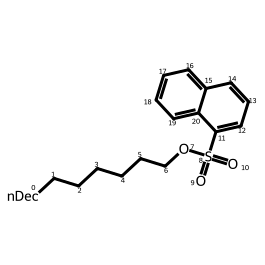 CCCCCCCCCCCCCCCCOS(=O)(=O)c1cccc2ccccc12